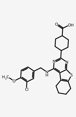 COc1ccc(CNc2nc(C3CCC(C(=O)O)CC3)nc3sc4c(c23)CCCC4)cc1Cl